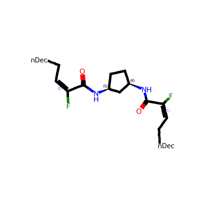 CCCCCCCCCCC/C=C(/F)C(=O)N[C@@H]1CC[C@H](NC(=O)/C(F)=C\CCCCCCCCCCC)C1